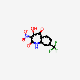 O=c1[nH]c2cc(C(F)(F)F)ccc2c(=O)c(O)c1[N+](=O)[O-]